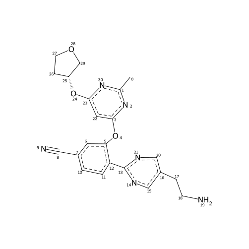 Cc1nc(Oc2cc(C#N)ccc2-c2ncc(CCN)cn2)cc(O[C@@H]2CCOC2)n1